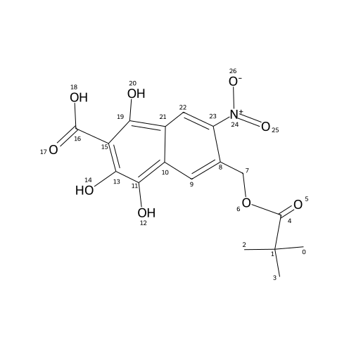 CC(C)(C)C(=O)OCc1cc2c(O)c(O)c(C(=O)O)c(O)c2cc1[N+](=O)[O-]